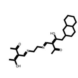 CC(=O)C(/C=N/CC/N=C/C(C(C)=O)=C(\O)CC1CCC2CCCCC2C1)=C(\C)O